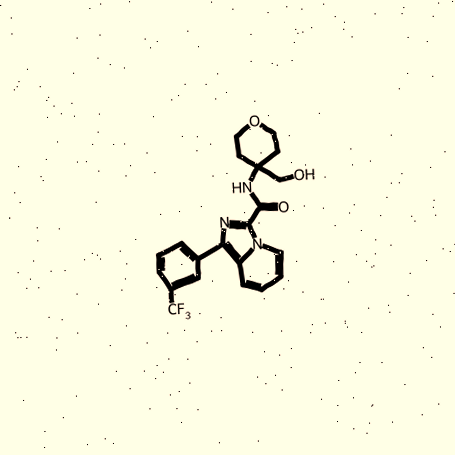 O=C(NC1(CO)CCOCC1)c1nc(-c2cccc(C(F)(F)F)c2)c2ccccn12